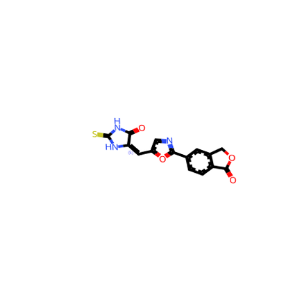 O=C1NC(=S)N/C1=C/c1cnc(-c2ccc3c(c2)COC3=O)o1